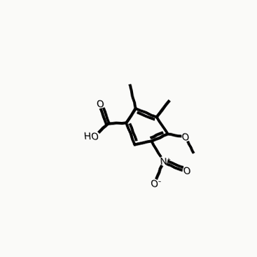 COc1c([N+](=O)[O-])cc(C(=O)O)c(C)c1C